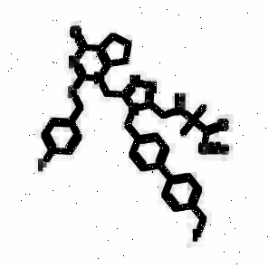 COC(=O)C(C)(C)NCc1nnc(Cn2c(SCc3ccc(F)cc3)nc(=O)c3c2CCC3)n1Cc1ccc(-c2ccc(CF)cc2)cc1